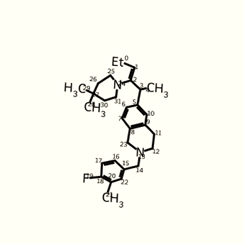 CC/C=C(/C(C)c1ccc2c(c1)CCN(Cc1ccc(F)c(C)c1)C2)N1CCC(C)(C)CC1